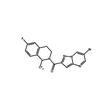 O=C(c1cc2ncc(Br)cn2n1)N1CCc2cc(F)ccc2C1C(F)(F)F